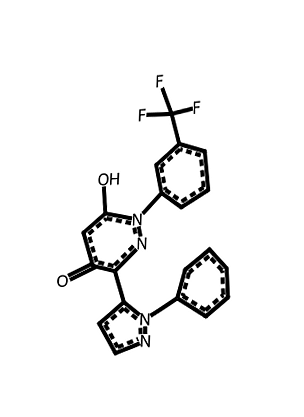 O=c1cc(O)n(-c2cccc(C(F)(F)F)c2)nc1-c1ccnn1-c1ccccc1